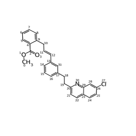 COC(=O)c1ccccc1C/C=C/c1cccc(CCc2ccc3ccc(Cl)cc3n2)c1